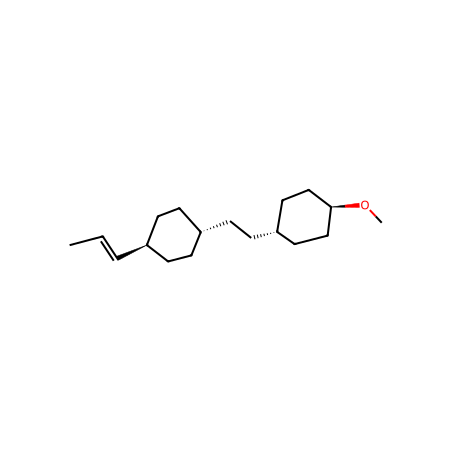 CC=C[C@H]1CC[C@H](CC[C@H]2CC[C@H](OC)CC2)CC1